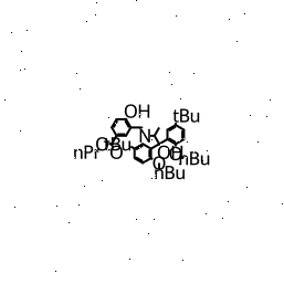 CCCCOc1ccc(C(C)(C)C)cc1C(O)(c1cc(C(C)(C)C)ccc1OCCCC)C(C)N=Cc1cc(C(=O)OCCC)ccc1O